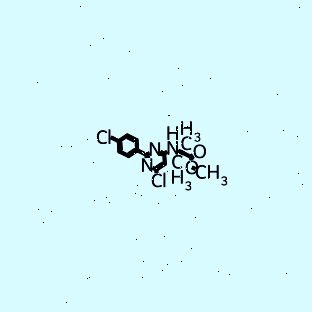 COC(=O)C(C)(C)Nc1cc(Cl)nc(-c2ccc(Cl)cc2)n1